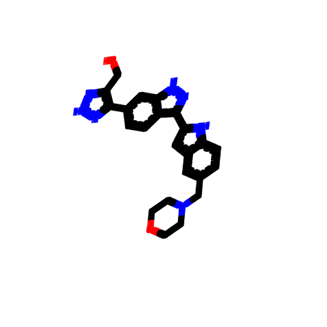 OCc1n[nH]nc1-c1ccc2c(-c3cc4cc(CN5CCOCC5)ccc4[nH]3)n[nH]c2c1